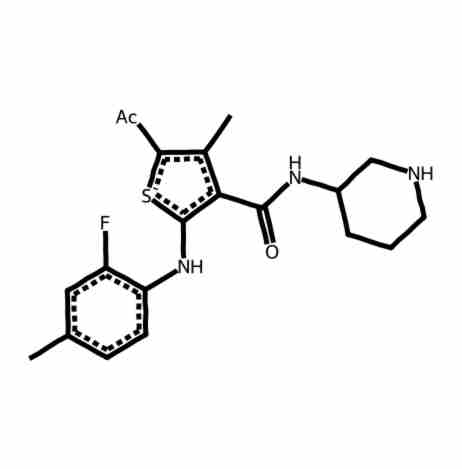 CC(=O)c1sc(Nc2ccc(C)cc2F)c(C(=O)NC2CCCNC2)c1C